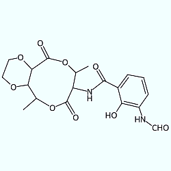 CC1OC(=O)C2OCCOC2C(C)OC(=O)C1NC(=O)c1cccc(NC=O)c1O